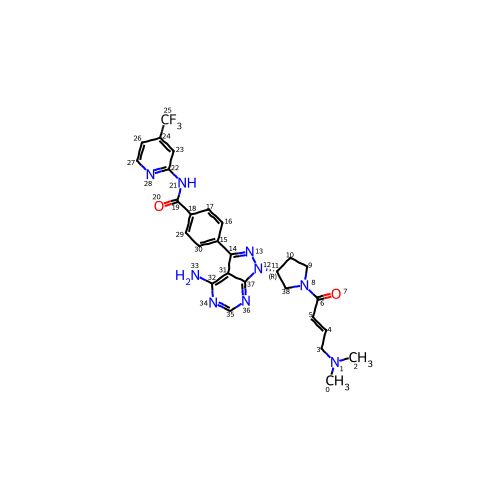 CN(C)CC=CC(=O)N1CC[C@@H](n2nc(-c3ccc(C(=O)Nc4cc(C(F)(F)F)ccn4)cc3)c3c(N)ncnc32)C1